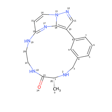 C[C@H]1NCc2cccc(c2)-c2cnn3ccc(nc23)NCCNC1=O